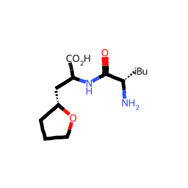 CCC(C)[C@H](N)C(=O)NC(C[C@H]1CCCO1)C(=O)O